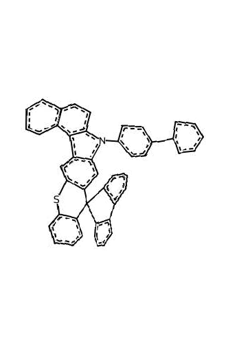 c1ccc(-c2ccc(-n3c4cc5c(cc4c4c6ccccc6ccc43)Sc3ccccc3C53c4ccccc4-c4ccccc43)cc2)cc1